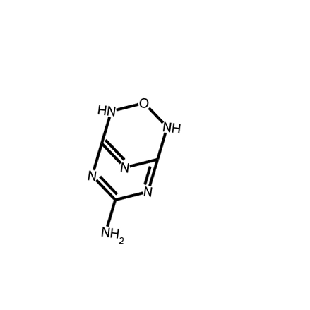 Nc1nc2nc(n1)NON2